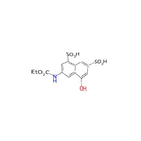 CCOC(=O)Nc1cc(S(=O)(=O)O)c2cc(S(=O)(=O)O)cc(O)c2c1